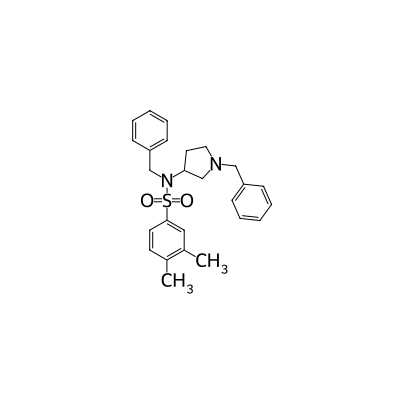 Cc1ccc(S(=O)(=O)N(Cc2ccccc2)C2CCN(Cc3ccccc3)C2)cc1C